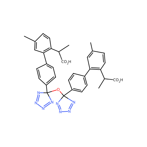 Cc1ccc(C(C)C(=O)O)c(-c2ccc(C3(OC4(c5ccc(-c6cc(C)ccc6C(C)C(=O)O)cc5)N=NN=N4)N=NN=N3)cc2)c1